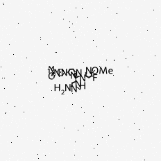 COc1ncc(Nc2nc3ccc(N4CCN(C(=O)N(C)C)CC4)cn3c2-c2cc(N)nc(C)n2)cc1F